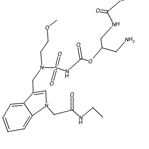 CCNC(=O)Cn1cc(CN(CCOC)S(=O)(=O)NC(=O)OC(CN)CNC(=O)O)c2ccccc21